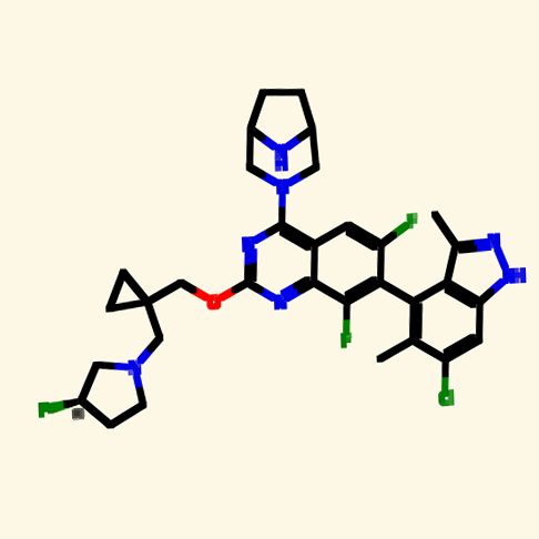 Cc1c(Cl)cc2[nH]nc(C)c2c1-c1c(F)cc2c(N3CC4CCC(C3)N4)nc(OCC3(CN4CC[C@@H](F)C4)CC3)nc2c1F